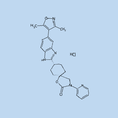 Cc1noc(C)c1-c1ccc2[nH]c([C@H]3CC[C@]4(CC3)CN(c3ccccn3)C(=O)O4)nc2c1.Cl